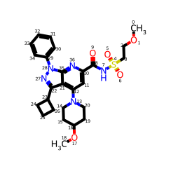 COCCS(=O)(=O)NC(=O)c1cc(N2CCC(OC)CC2)c2c(C3CCC3)nn(-c3ccccc3)c2n1